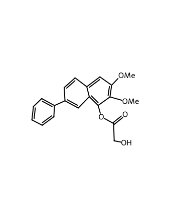 COc1cc2ccc(-c3ccccc3)cc2c(OC(=O)CO)c1OC